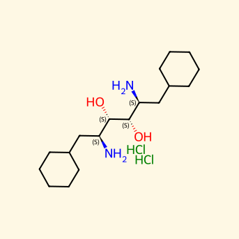 Cl.Cl.N[C@@H](CC1CCCCC1)[C@H](O)[C@@H](O)[C@@H](N)CC1CCCCC1